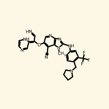 Cn1c(Nc2ccc(CN3CCCC3)c(C(F)(F)F)c2)nc2ncc(O/C(C=N)=C3\C=NC=CN3)c(C#N)c21